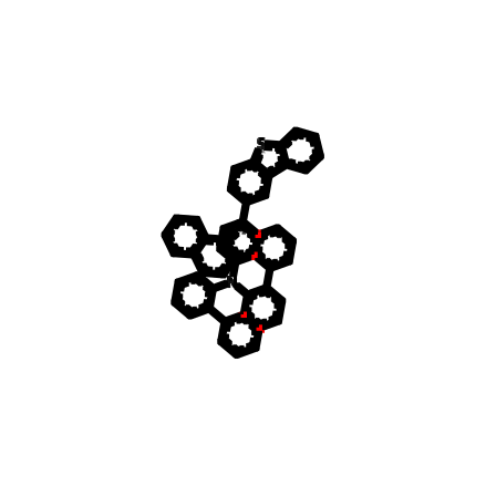 c1ccc(-c2ccccc2N(c2ccc(-c3ccc4sc5ccccc5c4c3)cc2)c2ccccc2-c2cccc3oc4c5ccccc5ccc4c23)cc1